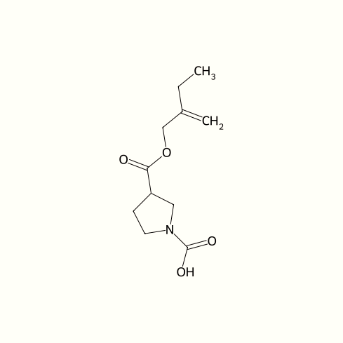 C=C(CC)COC(=O)C1CCN(C(=O)O)C1